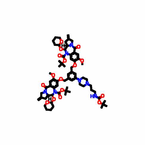 C=C1C[C@H]2C(OC3CCCCO3)N(C(=O)OC(C)(C)C)c3cc(OCc4cc(COc5cc6c(cc5OC)C(=O)N5CC(=C)C[C@H]5[C@H](OC5CCCCO5)N6C(=O)OC(C)(C)C)cc(N5CCN(CCCNC(=O)OC(C)(C)C)CC5)c4)c(OC)cc3C(=O)N2C1